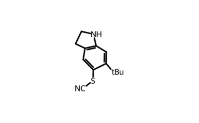 CC(C)(C)c1cc2c(cc1SC#N)CCN2